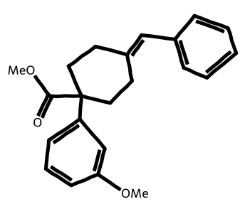 COC(=O)C1(c2cccc(OC)c2)CCC(=Cc2ccccc2)CC1